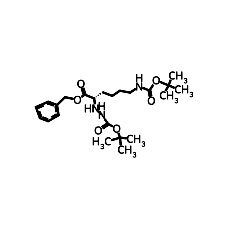 CC(C)(C)OC(=O)NCCCC[C@H](NNC(=O)OC(C)(C)C)C(=O)OCc1ccccc1